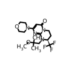 COC(C)(C)CN1c2nc(N3CCOCC3)cc(=O)n2CC[C@H]1C(F)(F)F